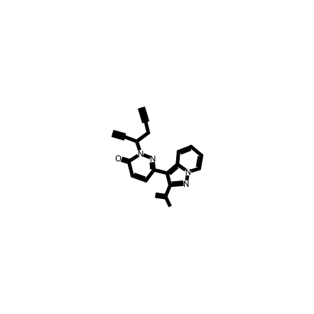 C#CCC(C#C)n1nc(-c2c(C(=C)C)nn3ccccc23)ccc1=O